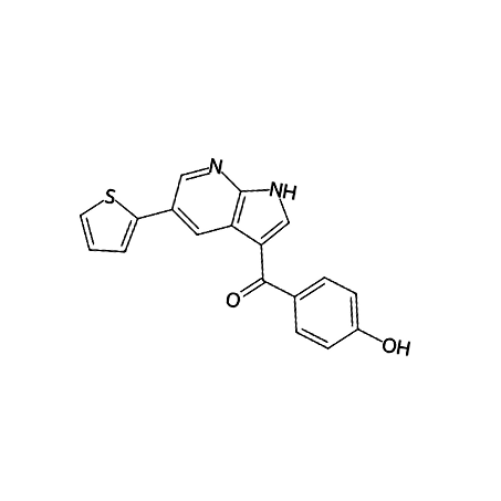 O=C(c1ccc(O)cc1)c1c[nH]c2ncc(-c3cccs3)cc12